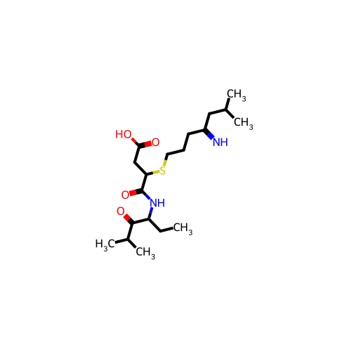 CCC(NC(=O)C(CC(=O)O)SCCCC(=N)CC(C)C)C(=O)C(C)C